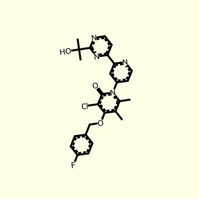 Cc1c(OCc2ccc(F)cc2)c(Cl)c(=O)n(-c2ccnc(-c3ccnc(C(C)(C)O)n3)c2)c1C